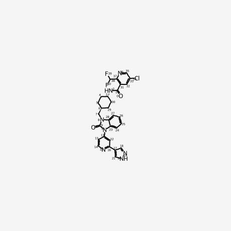 O=C(N[C@H]1CC[C@H](Cn2c(=O)n(-c3ccnc(-c4cn[nH]c4)c3)c3ccccc32)CC1)c1cc(Cl)cnc1C(F)F